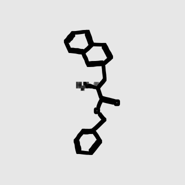 N[C@@H](Cc1ccc2ccccc2c1)C(=O)OCc1ccccc1